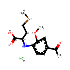 COc1cc(C(C)=O)ccc1NC(CCSC)C(=O)O.Cl